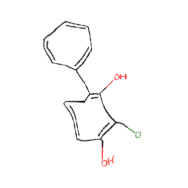 Oc1ccc(-c2ccccc2)c(O)c1Cl